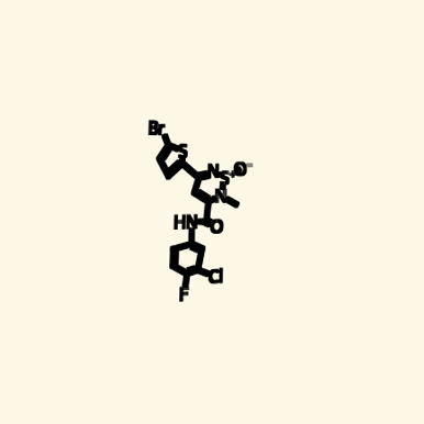 CN1C(C(=O)Nc2ccc(F)c(Cl)c2)=CC(c2ccc(Br)s2)=N[S+]1[O-]